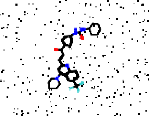 O=C(Nc1ccc(C(=O)C=Cc2cc(N3CCCCC3)c3cc(C(F)(F)F)ccc3n2)cc1)NC1CCCCC1